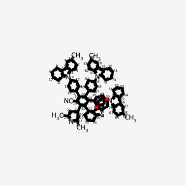 Cc1ccc2c(c1)c1ccccc1n2-c1ccc(-c2c(C#N)c(-c3cc(C)nc(C)c3)c(-c3cccc4sc5ccccc5c34)c(-c3ccc(-n4c5ccccc5c5cc(C)ccc54)cc3)c2-c2ccc(-n3c4ccccc4c4cc(C)ccc43)cc2)cc1